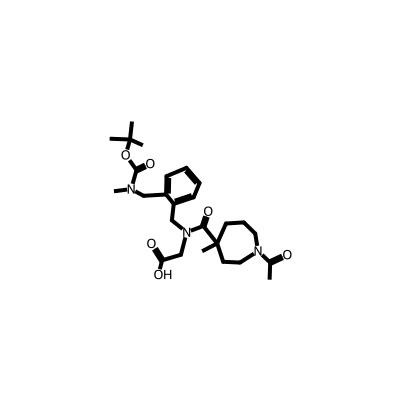 CC(=O)N1CCCC(C)(C(=O)N(CC(=O)O)Cc2ccccc2CN(C)C(=O)OC(C)(C)C)CC1